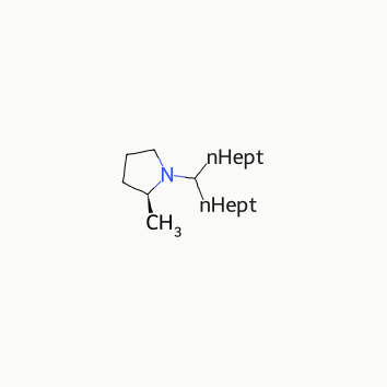 CCCCCCCC(CCCCCCC)N1CCC[C@@H]1C